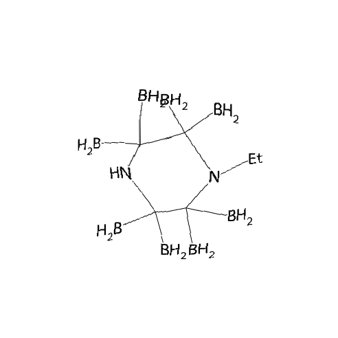 BC1(B)NC(B)(B)C(B)(B)N(CC)C1(B)B